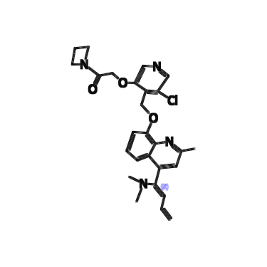 C=C/C=C(/c1cc(C)nc2c(OCc3c(Cl)cncc3OCC(=O)N3CCC3)cccc12)N(C)C